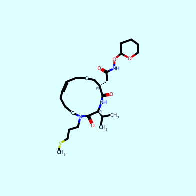 CSCCCN1CCCC=CCCC[C@H](CC(=O)NOC2CCCCO2)C(=O)N[C@@H](C(C)C)C1=O